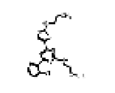 CCCNc1ncc(-c2cc(-c3ccccc3Cl)nc(NCCOC)n2)s1